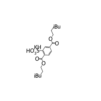 CCC(C)CCOC(=O)c1ccc(C(=O)OCCC(C)CC)c(S(=O)(=O)O)c1.[KH]